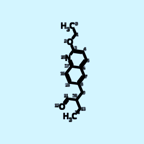 CCOc1ccc2cc(CC(C=O)CC)ccc2n1